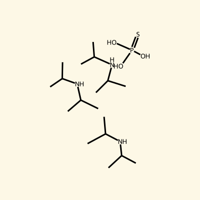 CC(C)NC(C)C.CC(C)NC(C)C.CC(C)NC(C)C.OP(O)(O)=S